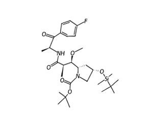 CO[C@H]([C@@H](C)C(=O)N[C@@H](C)C(=O)c1ccc(F)cc1)[C@@H]1C[C@H](O[Si](C)(C)C(C)(C)C)CN1C(=O)OC(C)(C)C